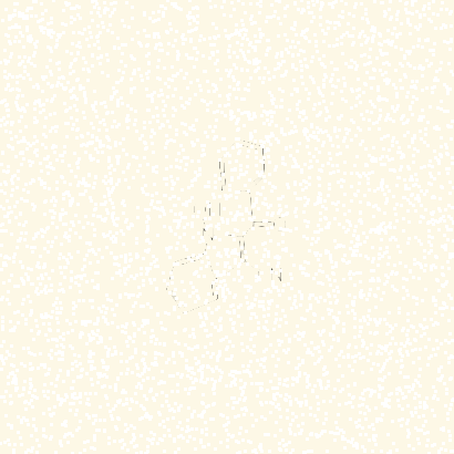 N#Cc1c(C(=O)c2ccccc2)n(O)c2ccccc12